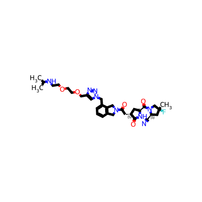 CC(C)NCCOCCOCc1cn(Cc2cccc3c2CN(C(=O)C[C@@H]2C[C@@H](C(=O)N4CC(C)(F)C[C@H]4C#N)NC2=O)C3)nn1